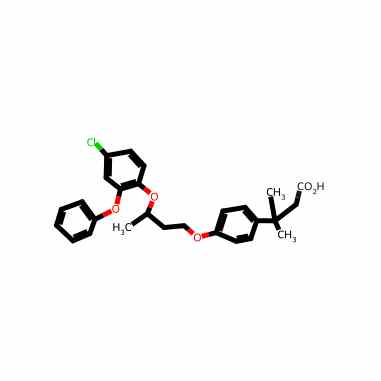 CC(CCOc1ccc(C(C)(C)CC(=O)O)cc1)Oc1ccc(Cl)cc1Oc1ccccc1